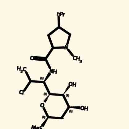 CCCC1CC(C(=O)N[C@H](C(C)Cl)[C@H]2O[C@H](SC)[CH][C@H](O)[C@H]2O)N(C)C1